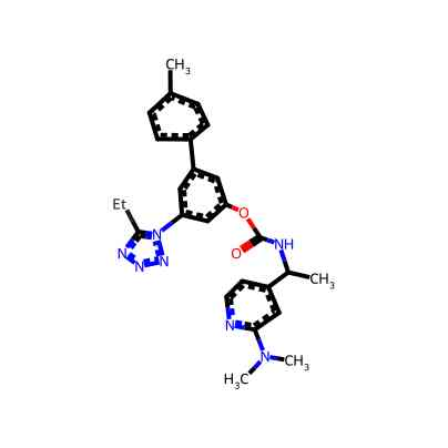 CCc1nnnn1-c1cc(OC(=O)NC(C)c2ccnc(N(C)C)c2)cc(-c2ccc(C)cc2)c1